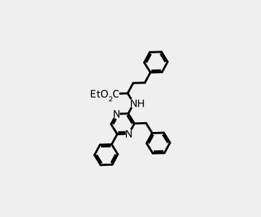 CCOC(=O)C(CCc1ccccc1)Nc1ncc(-c2ccccc2)nc1Cc1ccccc1